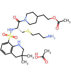 CC(=O)O.CC(=O)OCCC1CCN(C(=O)[C@H](CSCCCN)NS(=O)(=O)c2cccc3c2NCC(C)(C)C3)CC1